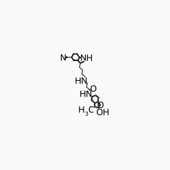 Cc1c(O)oc2ccc(NC(=O)CCNCCCCc3c[nH]c4ccc(C#N)cc34)cc12